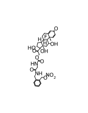 C[C@]12C=CC(=O)C=C1CC[C@H]1[C@@H]3C[C@@H](O)[C@](O)(C(=O)COC(=O)NCC(=O)NCc4ccccc4CO[N+](=O)[O-])[C@@]3(C)C[C@H](O)[C@@]12F